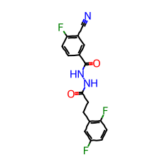 N#Cc1cc(C(=O)NNC(=O)CCc2cc(F)ccc2F)ccc1F